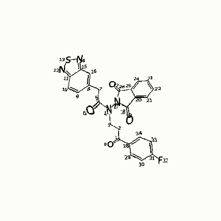 O=C(CCN(C(=O)Cc1ccc2nsnc2c1)N1C(=O)c2ccccc2C1=O)c1ccc(F)cc1